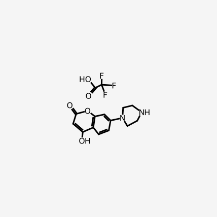 O=C(O)C(F)(F)F.O=c1cc(O)c2ccc(N3CCNCC3)cc2o1